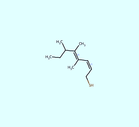 CCC(C)/C(C)=C(C)/C=C\CS